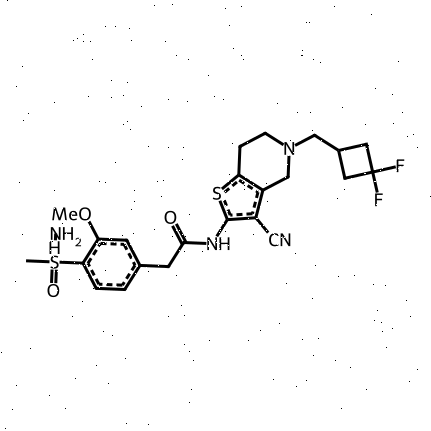 COc1cc(CC(=O)Nc2sc3c(c2C#N)CN(CC2CC(F)(F)C2)CC3)ccc1[SH](C)(N)=O